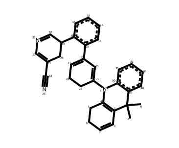 CC1(C)C2=C(CCC=C2)N(C2=CC(c3ccccc3C3C=NC=C(C#N)C3)=CCC2)c2ccccc21